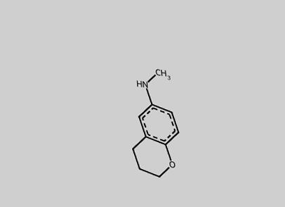 CNc1ccc2c(c1)CCCO2